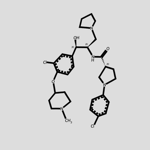 CN1CCC(Oc2ccc([C@@H](O)[C@@H](CN3CCCC3)NC(=O)[C@@H]3CCN(c4ccc(Cl)cc4)C3)cc2Cl)CC1